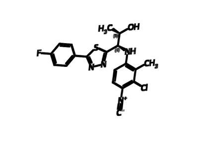 [C-]#[N+]c1ccc(N[C@@H](c2nnc(-c3ccc(F)cc3)s2)[C@@H](C)O)c(C)c1Cl